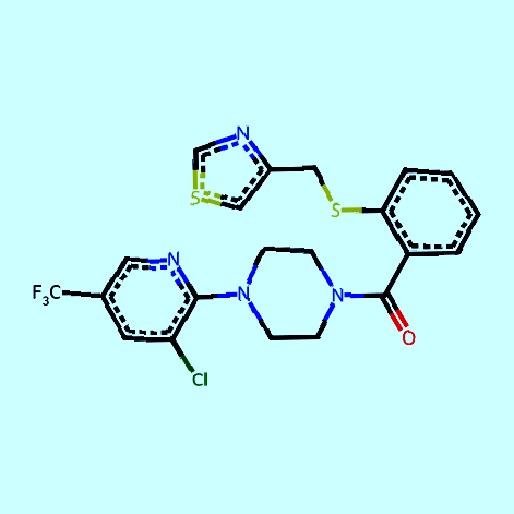 O=C(c1ccccc1SCc1cscn1)N1CCN(c2ncc(C(F)(F)F)cc2Cl)CC1